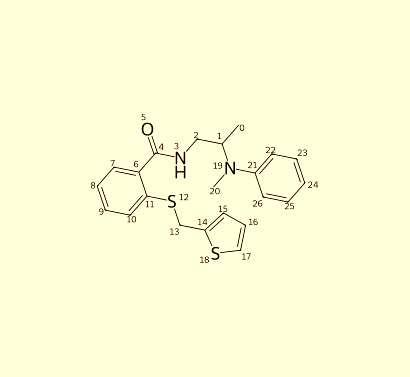 CC(CNC(=O)c1ccccc1SCc1cccs1)N(C)c1ccccc1